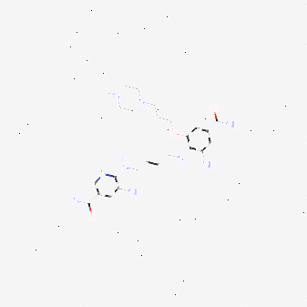 NC(=O)c1cnc(NCC=CCNc2c(N)cc(C(N)=O)cc2OCCCN2CCN(C(=O)O)CC2)c(N)c1